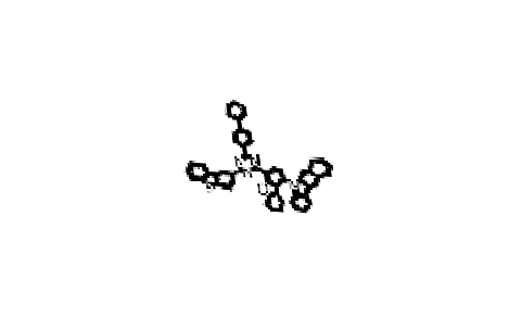 c1ccc(-c2ccc(-c3nc(-c4ccc5sc6ccccc6c5c4)nc(-c4ccc(-n5c6ccccc6c6cc7ccccc7cc65)c5c4oc4ccccc45)n3)cc2)cc1